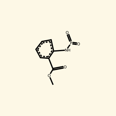 COC(=O)c1ccccc1NP(=O)=O